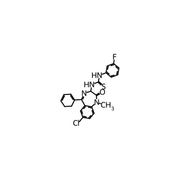 CN1C(=O)C(NC(=S)Nc2cccc(F)c2)N=C(C2=CC=CCC2)c2cc(Cl)ccc21